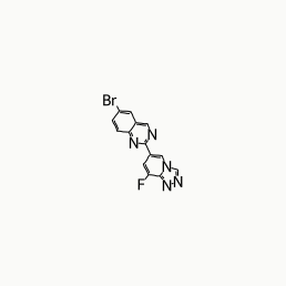 Fc1cc(-c2ncc3cc(Br)ccc3n2)cn2cnnc12